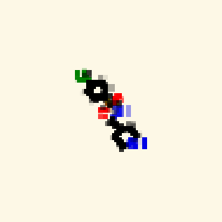 O=S(=O)(NCC1CCNCC1)c1ccc(Cl)cc1